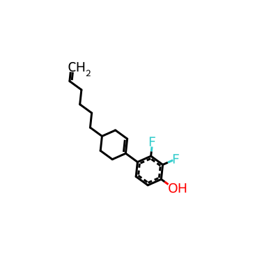 C=CCCCCC1CC=C(c2ccc(O)c(F)c2F)CC1